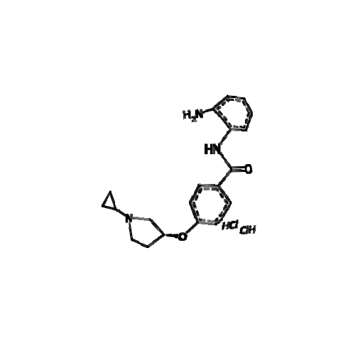 Cl.Cl.Nc1ccccc1NC(=O)c1ccc(O[C@H]2CCN(C3CC3)C2)cc1